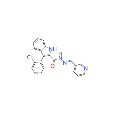 O=C(NN=Cc1cccnc1)c1[nH]c2ccccc2c1-c1ccccc1Cl